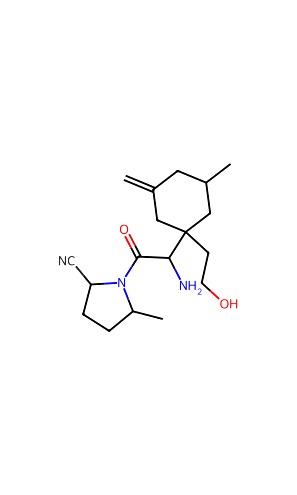 C=C1CC(C)CC(CCO)(C(N)C(=O)N2C(C)CCC2C#N)C1